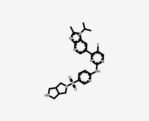 Cc1nc2ncc(-c3nc(Nc4ccc(S(=O)(=O)N5CC6CNCC6C5)cn4)ncc3F)cc2n1C(C)C